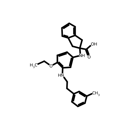 CCOc1ccc(NC2(C(=O)O)Cc3ccccc3C2)cc1NCCc1cccc(C)c1